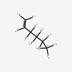 FC(F)=C(F)C(F)(F)C(F)(F)C1(F)OC1(F)F